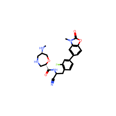 CN[C@@H]1CNC[C@@H](C(=O)NC(C#N)Cc2ccc(-c3ccc4oc(=O)n(C)c4c3)cc2F)OC1